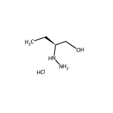 CC[C@@H](CO)NN.Cl